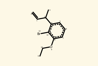 C=C[C](C)c1cccc(OCC)c1Br